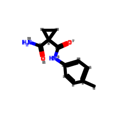 Cc1ccc(NC(=O)C2(C(N)=O)CC2)cc1